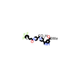 COC(=O)c1ccc2[nH]cc(C3CCN(C(C(=O)O)C4CCN(C(=O)C=Cc5cc(F)c(F)c(F)c5)CC4)CC3)c2c1